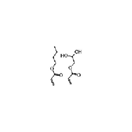 C=CC(=O)OCC(O)O.C=CC(=O)OCCCC